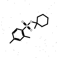 Cc1ccc(S(=O)(=O)OC2(C)CCCCC2)c(C)c1